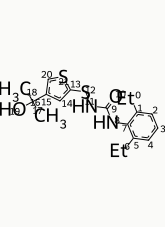 CCc1cccc(CC)c1NC(=O)NSc1cc(C(C)(C)O)cs1